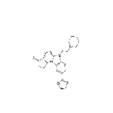 O=C1CCc2c1ccc1c2c2cc(-c3ncco3)ccc2n1CCN1CCCCC1